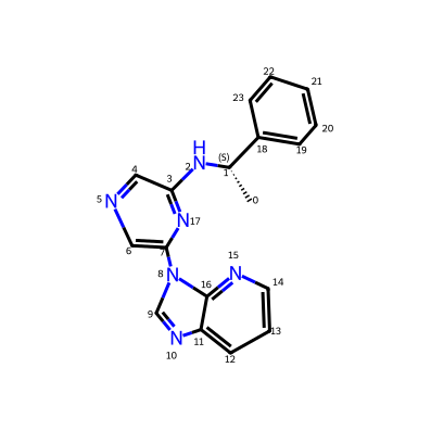 C[C@H](Nc1cncc(-n2cnc3cccnc32)n1)c1ccccc1